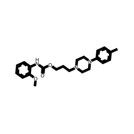 COc1ccccc1NC(=O)OCCCN1CCN(c2ccc(C)cc2)CC1